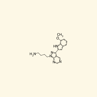 COc1cccc2cc(-c3nn(CCCCN)c4ncncc34)[nH]c12